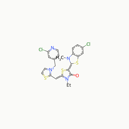 CCn1c(=O)/c(=C2\Sc3cc(Cl)ccc3N2C)s/c1=C\c1scc[n+]1Cc1ccnc(Cl)c1